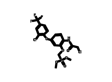 COP(=O)(COc1cc(Oc2ccc(C(F)(F)F)cc2Cl)ccc1NC(=O)CCl)OC